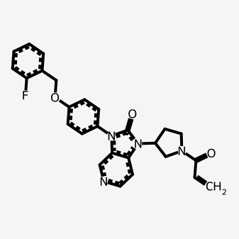 C=CC(=O)N1CCC(n2c(=O)n(-c3ccc(OCc4ccccc4F)cc3)c3cnccc32)C1